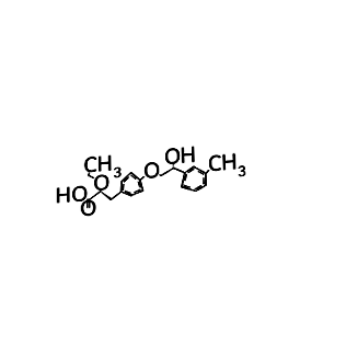 CCO[C@@H](Cc1ccc(OC[C@H](O)c2cccc(C)c2)cc1)C(=O)O